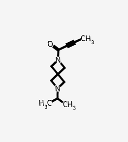 CC#CC(=O)N1CC2(C1)CN(C(C)C)C2